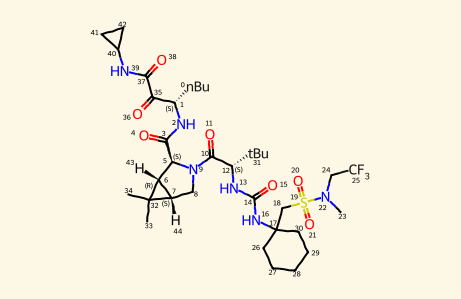 CCCC[C@H](NC(=O)[C@@H]1[C@@H]2[C@H](CN1C(=O)[C@@H](NC(=O)NC1(CS(=O)(=O)N(C)CC(F)(F)F)CCCCC1)C(C)(C)C)C2(C)C)C(=O)C(=O)NC1CC1